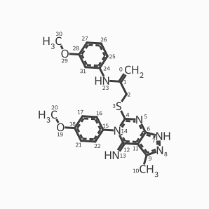 C=C(CSc1nc2[nH]nc(C)c2c(=N)n1-c1ccc(OC)cc1)Nc1cccc(OC)c1